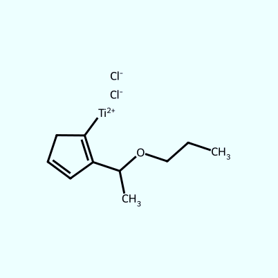 CCCOC(C)C1=[C]([Ti+2])CC=C1.[Cl-].[Cl-]